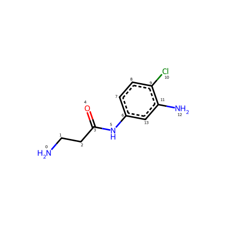 NCCC(=O)Nc1ccc(Cl)c(N)c1